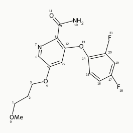 COCCCOc1cnc(C(N)=O)c(Oc2ccc(F)cc2F)c1